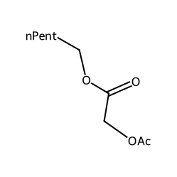 CCCCCCOC(=O)COC(C)=O